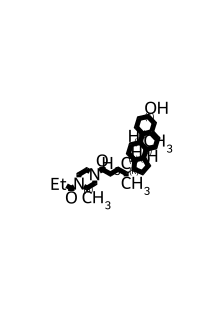 CCC(=O)N1CCN(C(=O)CCC(C)[C@H]2CC[C@H]3[C@@H]4CC=C5C[C@@H](O)CC[C@]5(C)[C@H]4CC[C@]23C)C[C@@H]1C